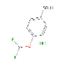 Cl.O=S(=O)(O)c1ccc(OC(F)F)cc1